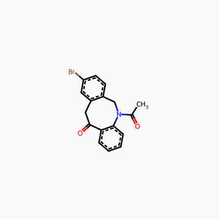 CC(=O)N1Cc2ccc(Br)cc2CC(=O)c2ccccc21